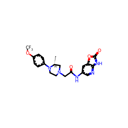 C[C@@H]1CN(CC(=O)Nc2cnc3[nH]c(=O)oc3c2)CCN1c1ccc(OC(F)(F)F)cc1